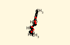 CNC(=O)c1ccccc1Sc1ccc2c(C#Cc3cccc(NC(=O)COCCOCCOCCOC)n3)n[nH]c2c1